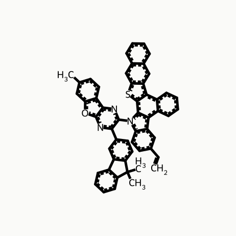 C=Cc1ccc2c(c1)c1c3ccccc3c3c4cc5ccccc5cc4sc3c1n2-c1nc2c(nc1-c1ccc3c(c1)-c1ccccc1C3(C)C)oc1cc(C)ccc12